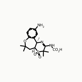 CC1(C)C[C@H]2[C@](C)(N=C(NC(=O)O)C(C)(C)S2(=O)=O)c2cc(N)ccc2O1